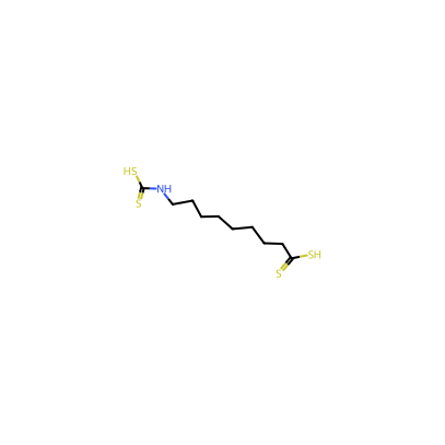 S=C(S)CCCCCCCCNC(=S)S